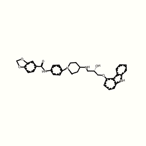 O=C(Nc1ccc(N2CCC(NC[C@H](O)COc3cccc4[nH]c5ccccc5c34)CC2)cc1)c1ccc2c(c1)OCO2